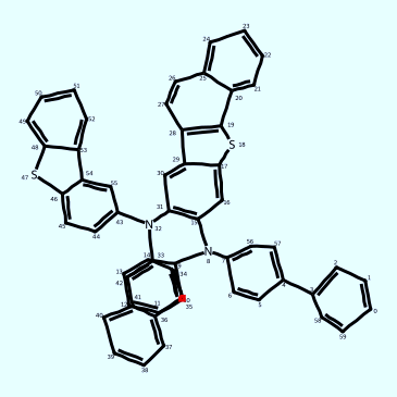 c1ccc(-c2ccc(N(c3ccccc3)c3cc4sc5c6ccccc6ccc5c4cc3N(c3ccc4ccccc4c3)c3ccc4sc5ccccc5c4c3)cc2)cc1